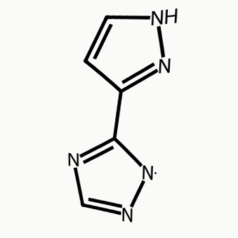 C1=N[N]C(c2cc[nH]n2)=N1